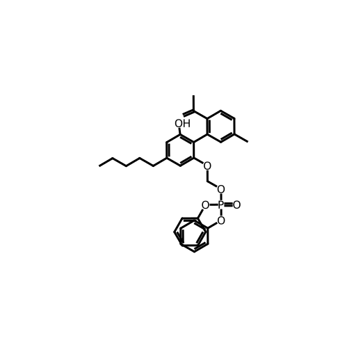 C=C(C)c1ccc(C)cc1-c1c(O)cc(CCCCC)cc1OCOP(=O)(Oc1ccccc1)Oc1ccccc1